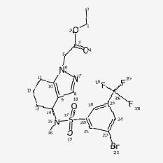 CCOC(=O)Cn1ncc2c1CCCC2N(C)S(=O)(=O)c1cc(Br)cc(C(F)(F)F)c1